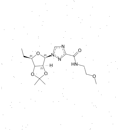 CC[C@H]1O[C@@H](n2cnc(C(=O)NCCOC)n2)[C@H]2OC(C)(C)OC12